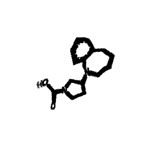 O=C(O)N1CCC(N2CCCCc3ccccc32)C1